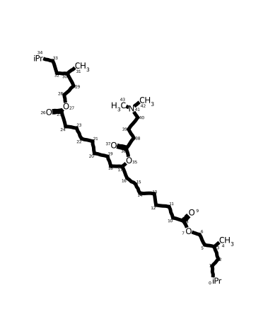 CC(C)CCC(C)CCOC(=O)CCCCCCCC(CCCCCCCC(=O)OCCC(C)CCC(C)C)OC(=O)CCCN(C)C